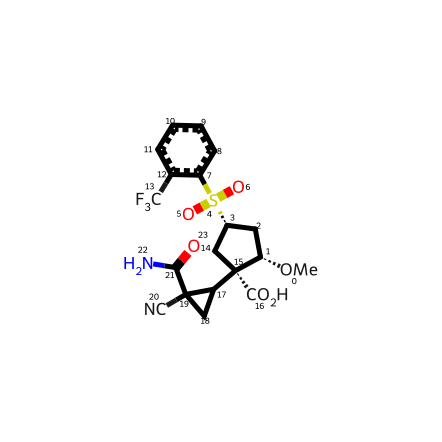 CO[C@H]1C[C@@H](S(=O)(=O)c2ccccc2C(F)(F)F)C[C@]1(C(=O)O)C1CC1(C#N)C(N)=O